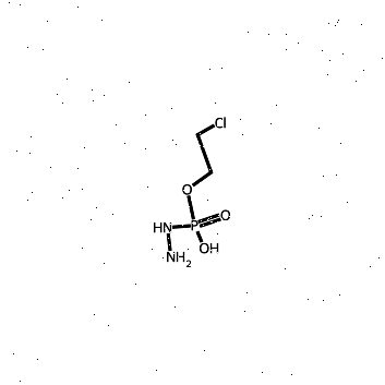 NNP(=O)(O)OCCCl